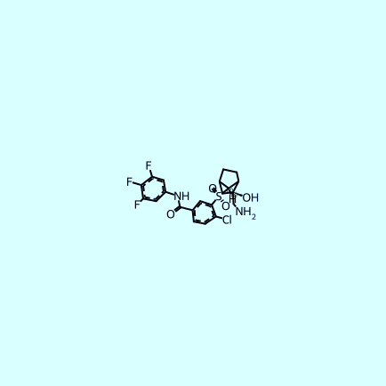 NC[C@]1(O)CC2CCC1[C@@H]2S(=O)(=O)c1cc(C(=O)Nc2cc(F)c(F)c(F)c2)ccc1Cl